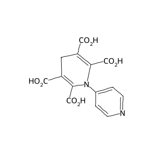 O=C(O)C1=C(C(=O)O)N(c2ccncc2)C(C(=O)O)=C(C(=O)O)C1